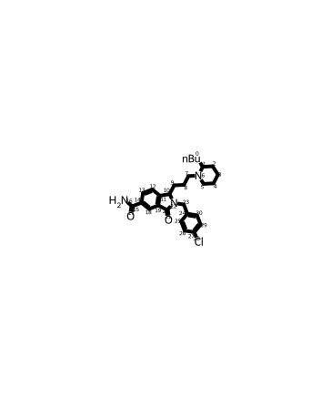 CCCCC1CCCCN1CCCC1c2ccc(C(N)=O)cc2C(=O)N1Cc1ccc(Cl)cc1